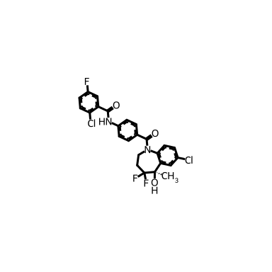 C[C@@]1(O)c2cc(Cl)ccc2N(C(=O)c2ccc(NC(=O)c3cc(F)ccc3Cl)cc2)CCC1(F)F